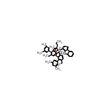 CCCC1=Cc2c(ccc(CC)c2-c2cc(C)cc(C)c2)[CH]1[Zr]([Cl])([Cl])([c]1cccc2c1[SiH2]c1ccccc1-2)[CH]1C(CCC)=Cc2c1ccc(CC)c2-c1cc(C)cc(C)c1